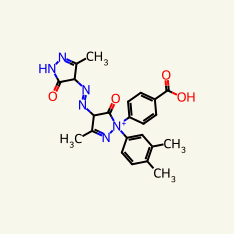 CC1=NNC(=O)C1N=NC1C(=O)[N+](c2ccc(C(=O)O)cc2)(c2ccc(C)c(C)c2)N=C1C